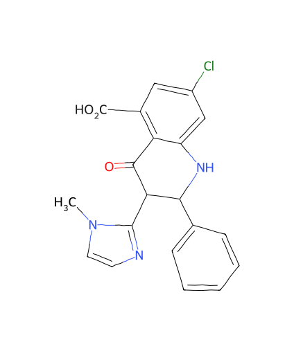 Cn1ccnc1C1C(=O)c2c(cc(Cl)cc2C(=O)O)NC1c1ccccc1